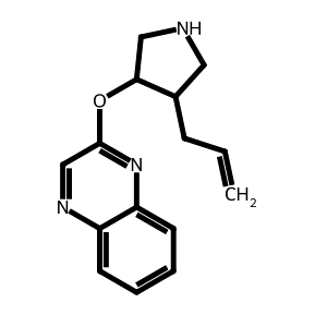 C=CCC1CNCC1Oc1cnc2ccccc2n1